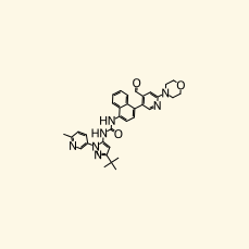 Cc1ccc(-n2nc(C(C)(C)C)cc2NC(=O)Nc2ccc(-c3cnc(N4CCOCC4)cc3C=O)c3ccccc23)cn1